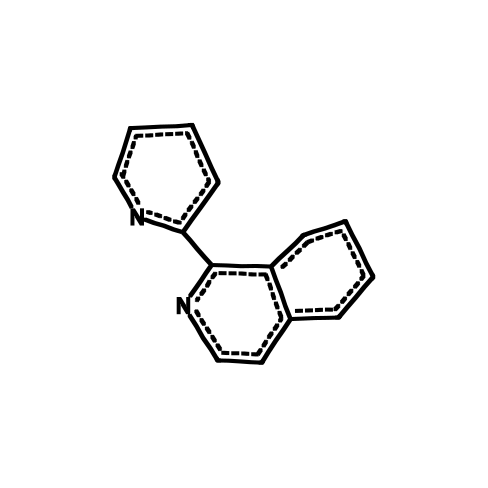 c1ccc(-c2nccc3ccccc23)nc1